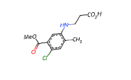 COC(=O)c1cc(NCCC(=O)O)c(C)cc1Cl